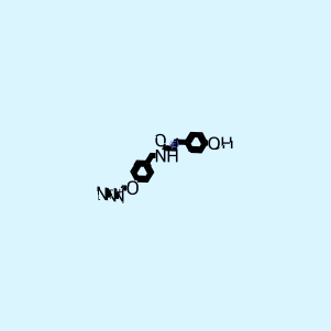 [N-]=[N+]=NCOc1ccc(CNC(=O)/C=C/c2ccc(O)cc2)cc1